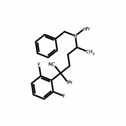 CCCN(Cc1ccccc1)C(C)CCC(C#N)(c1c(F)cccc1F)C(C)C